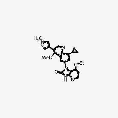 CCOc1ccnc2[nH]c(=O)n(-c3cc(C4CC4)c4ncc(-c5cnn(C)c5)c(OC)c4c3)c12